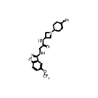 CC(C)C1CCC(N2CC(NC(=O)CNc3noc4ccc(OC(F)(F)F)cc34)C2)CC1